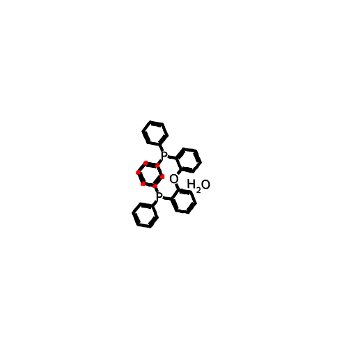 O.c1ccc(P(c2ccccc2)c2ccccc2Oc2ccccc2P(c2ccccc2)c2ccccc2)cc1